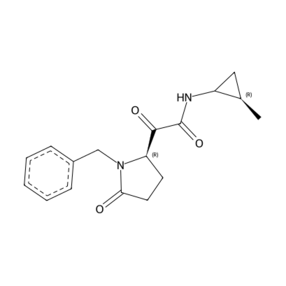 C[C@@H]1CC1NC(=O)C(=O)[C@H]1CCC(=O)N1Cc1ccccc1